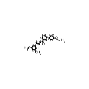 CCOc1ccc(-c2cncc(C(=O)NN=Cc3cc(C)cc(C)c3)n2)cc1